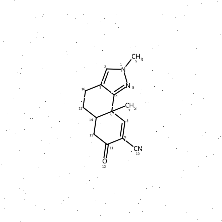 Cn1cc2c(n1)C1(C)C=C(C#N)C(=O)CC1CC2